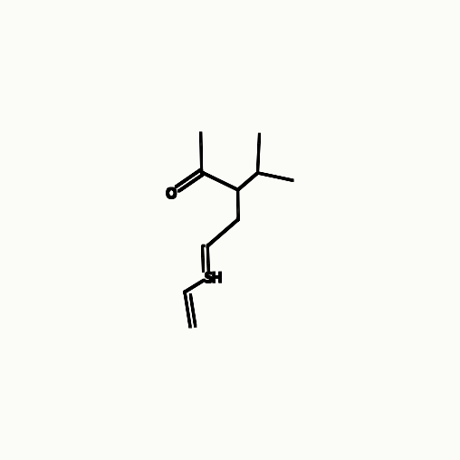 C=C[SH]=[C]CC(C(C)=O)C(C)C